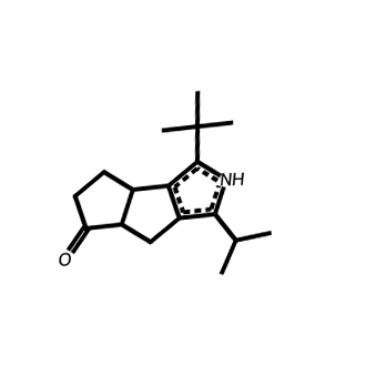 CC(C)c1[nH]c(C(C)(C)C)c2c1CC1C(=O)CCC21